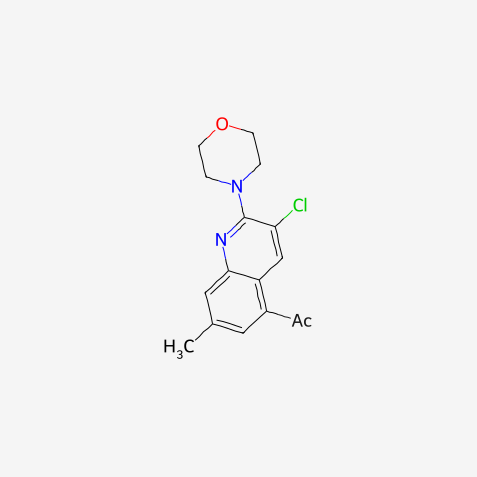 CC(=O)c1cc(C)cc2nc(N3CCOCC3)c(Cl)cc12